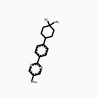 CCCCCCc1cnc(-c2ccc(C3CCC(C#N)(CCCC)CC3)cc2)nc1